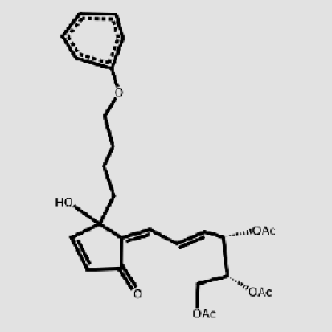 CC(=O)OC[C@@H](OC(C)=O)[C@H](C=CC=C1C(=O)C=CC1(O)CCCCOc1ccccc1)OC(C)=O